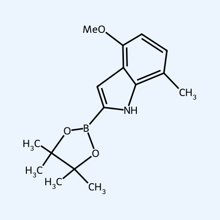 COc1ccc(C)c2[nH]c(B3OC(C)(C)C(C)(C)O3)cc12